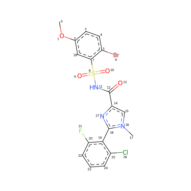 COc1ccc(Br)c(S(=O)(=O)NC(=O)c2cn(C)c(-c3c(F)cccc3Cl)n2)c1